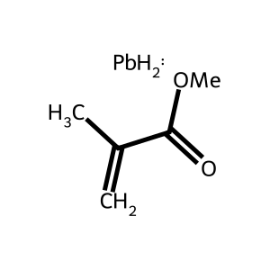 C=C(C)C(=O)OC.[PbH2]